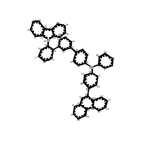 c1ccc(N(c2ccc(-c3cccc(-c4ccccc4-n4c5ccccc5c5ccccc54)c3)cc2)c2ccc(-c3cc4ccccc4c4ccccc34)cc2)cc1